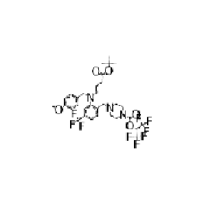 COc1ccc(CN(CCCC(=O)OC(C)(C)C)c2cc(C(F)(F)F)ccc2CN2CCN(C(=O)OC(C(F)(F)F)C(F)(F)F)CC2)cc1